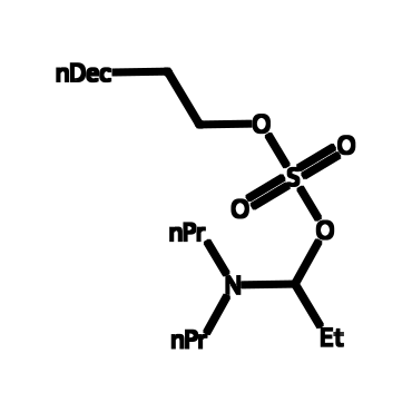 CCCCCCCCCCCCOS(=O)(=O)OC(CC)N(CCC)CCC